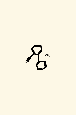 C.N#Cc1ccccc1-c1ccccc1